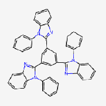 C1=CC(n2c(-c3cc(-c4nc5ccccc5n4-c4ccccc4)cc(-c4nc5ccccc5n4-c4ccccc4)c3)nc3ccccc32)=CCC1